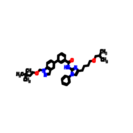 CC(C)COCCCCc1cn(-c2ccccc2)c(NC(=O)c2cccc(-c3ccc4c(cnn4COCC[Si](C)(C)C)c3)c2)n1